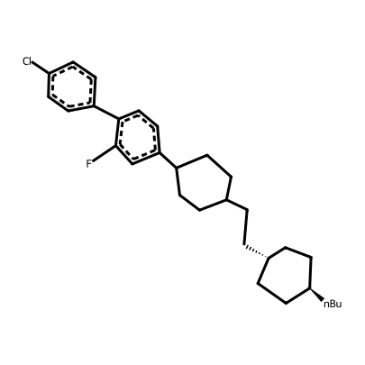 CCCC[C@H]1CC[C@H](CCC2CCC(c3ccc(-c4ccc(Cl)cc4)c(F)c3)CC2)CC1